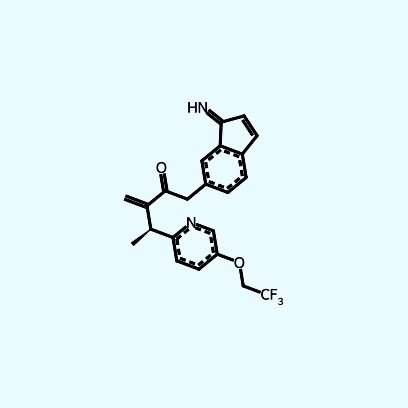 C=C(C(=O)Cc1ccc2c(c1)C(=N)C=C2)[C@H](C)c1ccc(OCC(F)(F)F)cn1